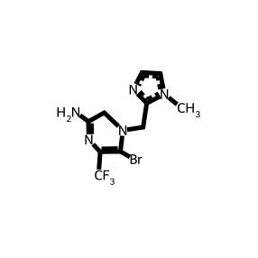 Cn1ccnc1CN1CC(N)=NC(C(F)(F)F)=C1Br